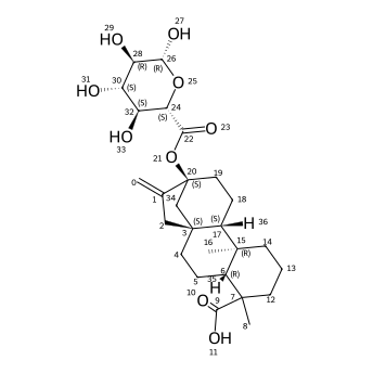 C=C1C[C@]23CC[C@H]4C(C)(C(=O)O)CCC[C@]4(C)[C@H]2CC[C@]1(OC(=O)[C@H]1O[C@@H](O)[C@H](O)[C@@H](O)[C@@H]1O)C3